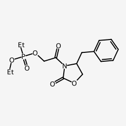 CCOP(=O)(CC)OCC(=O)N1C(=O)OCC1Cc1ccccc1